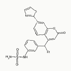 CCC(c1cccc(NS(N)(=O)=O)c1)c1cc(=O)oc2cc(-c3nccs3)ccc12